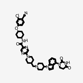 N#Cc1ccc(O[C@H]2CC[C@H](NC(=O)c3cnc(N4CCC(CN5CCC(n6ccc7c(N8CCC(=O)NC8=O)cccc76)CC5)CC4)cn3)CC2)cc1Cl